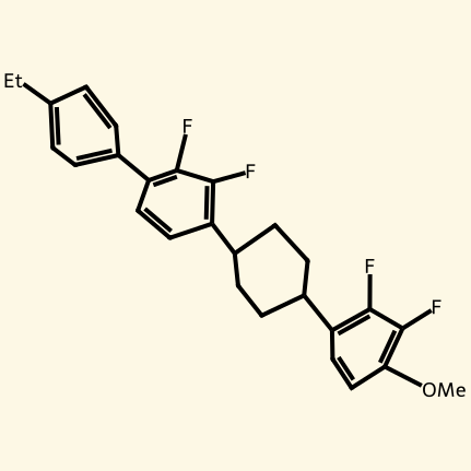 CCc1ccc(-c2ccc(C3CCC(c4ccc(OC)c(F)c4F)CC3)c(F)c2F)cc1